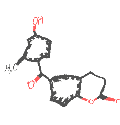 Cc1cc(O)ccc1C(=O)c1ccc2c(c1)CCC(=O)O2